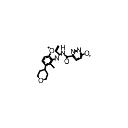 C=C/C(=N\c1c(OC)ccc(C2CCOCC2)c1C)NC(=O)c1ccc(OC)nn1